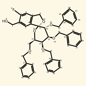 OCc1cc2c(cc1F)CO[C@]21O[C@H](COCc2ccccc2)[C@H](OCc2ccccc2)[C@H](OCc2ccccc2)[C@H]1OCc1ccccc1